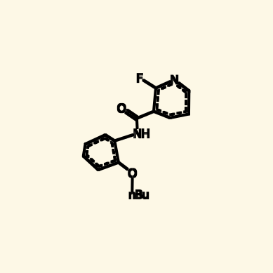 CCCCOc1ccccc1NC(=O)c1cccnc1F